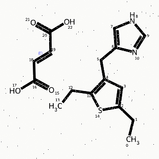 CCc1cc(Cc2c[nH]cn2)c(CC)s1.O=C(O)/C=C/C(=O)O